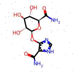 NC(=O)c1[nH]cnc1O[C@@H]1O[C@H](C(N)=O)[C@@H](O)[C@H](O)[C@H]1O